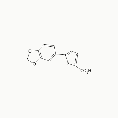 O=C(O)c1ccc(-c2ccc3c(c2)OCO3)s1